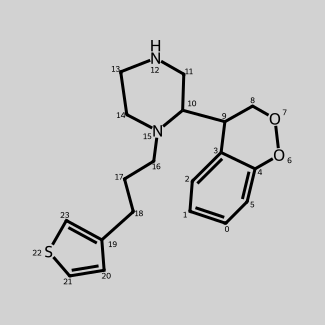 c1ccc2c(c1)OOCC2C1CNCCN1CCCc1ccsc1